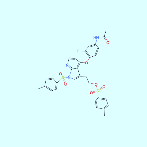 CC(=O)Nc1ccc(Oc2ccnc3c2c(CCOS(=O)(=O)c2ccc(C)cc2)cn3S(=O)(=O)c2ccc(C)cc2)c(F)c1